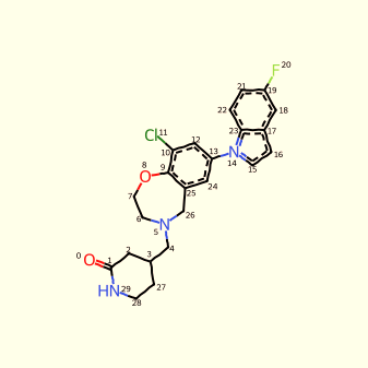 O=C1CC(CN2CCOc3c(Cl)cc(-n4ccc5cc(F)ccc54)cc3C2)CCN1